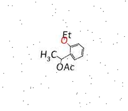 CCOc1ccccc1C(C)OC(C)=O